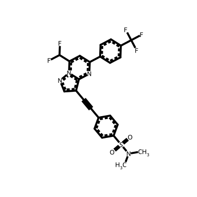 CN(C)S(=O)(=O)c1ccc(C#Cc2cnn3c(C(F)F)cc(-c4ccc(C(F)(F)F)cc4)nc23)cc1